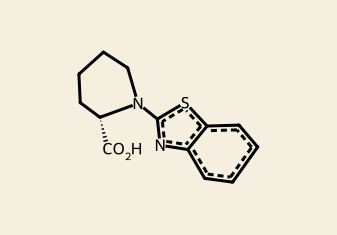 O=C(O)[C@@H]1CCCCN1c1nc2ccccc2s1